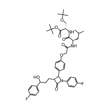 CC(C)C[C@@H](NC(=O)COc1ccc(C2C(CCC(O)c3ccc(F)cc3)C(=O)N2c2ccc(F)cc2)cc1)C(=O)N[C@@H](COC(C)(C)C)C(=O)OC(C)(C)C